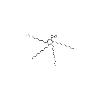 CCCCCCCCCc1cc([O][Zr])c(CCCCCCCCC)c(CCCCCCCCC)c1CCCCCCCCC